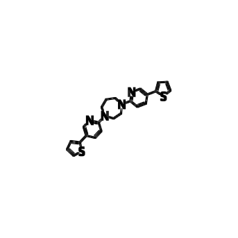 c1csc(-c2ccc(N3CCCN(c4ccc(-c5cccs5)cn4)CC3)nc2)c1